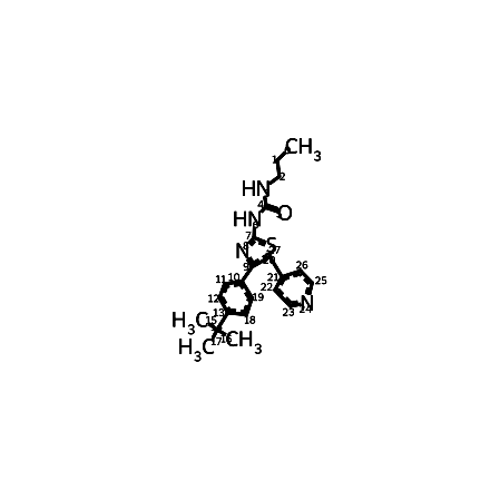 CCCNC(=O)Nc1nc(-c2ccc(C(C)(C)C)cc2)c(-c2ccncc2)s1